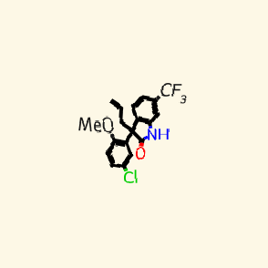 C=CCC1(c2cc(Cl)ccc2OC)C(=O)Nc2cc(C(F)(F)F)ccc21